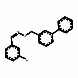 Clc1cccc(/[C]=N\OCc2cccc(-c3ccccc3)c2)c1